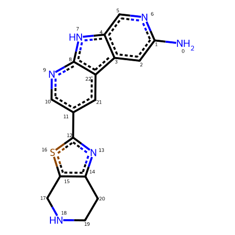 Nc1cc2c(cn1)[nH]c1ncc(-c3nc4c(s3)CNCC4)cc12